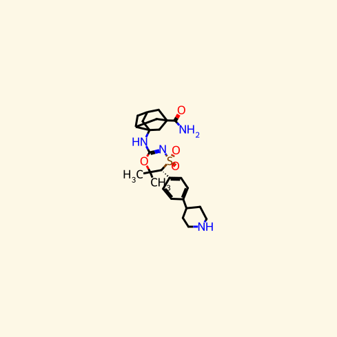 CC1(C)OC(NC23CC4CC2CC(C(N)=O)(C4)C3)=NS(=O)(=O)[C@@H]1c1ccc(C2CCNCC2)cc1